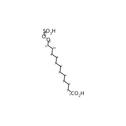 O=C(O)CCCCCCCCCCCOOS(=O)(=O)O